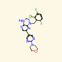 Fc1ccc(F)c(CN2CCNc3ncc(-c4cnc(N5CCOCC5)nc4)nc32)c1Cl